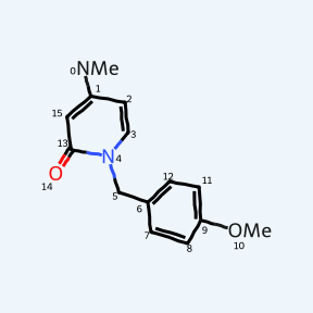 CNc1ccn(Cc2ccc(OC)cc2)c(=O)c1